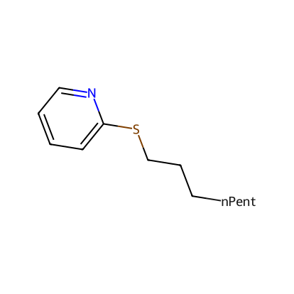 CCCCCCCCSc1ccccn1